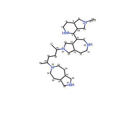 CC(C)N1CC2CCNC(C3CNCCC4CN(C(C)CCC(C)N5CCC6CNCC6CC5)CC43)C2C1